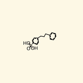 O=P(O)(O)c1ccc(CCCc2ccccc2)cc1